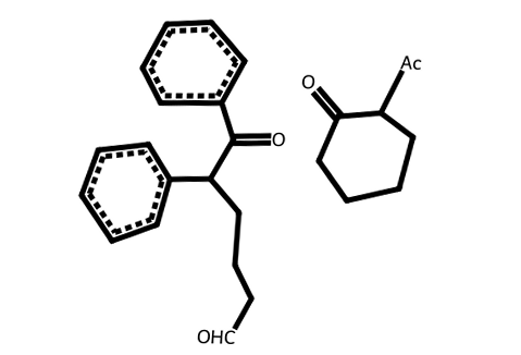 CC(=O)C1CCCCC1=O.O=CCCCC(C(=O)c1ccccc1)c1ccccc1